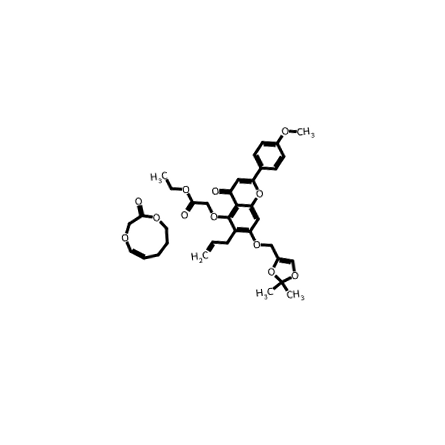 C=CCc1c(OCC2=COC(C)(C)O2)cc2oc(-c3ccc(OC)cc3)cc(=O)c2c1OCC(=O)OCC.O=C1COC=CCCCO1